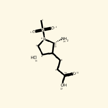 CS(=O)(=O)N1CCC(CCC(=O)O)[C@H]1N.Cl